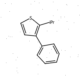 CC(C)c1sccc1-c1ccccc1